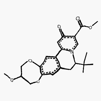 COC(=O)c1cn2c(cc1=O)-c1cc3c(cc1CC2C(C)(C)C)OCC(OC)CO3